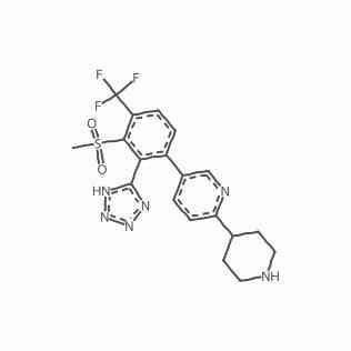 CS(=O)(=O)c1c(C(F)(F)F)ccc(-c2ccc(C3CCNCC3)nc2)c1-c1nnn[nH]1